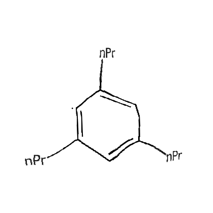 CCCc1[c]c(CCC)cc(CCC)c1